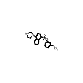 O=S(=O)(Nc1cccc(SC(F)(F)F)c1)c1ccc(N2CCNCC2)c2ccccc12